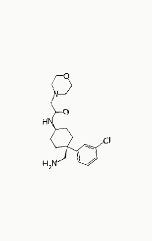 NC[C@]1(c2cccc(Cl)c2)CC[C@H](NC(=O)CN2CCOCC2)CC1